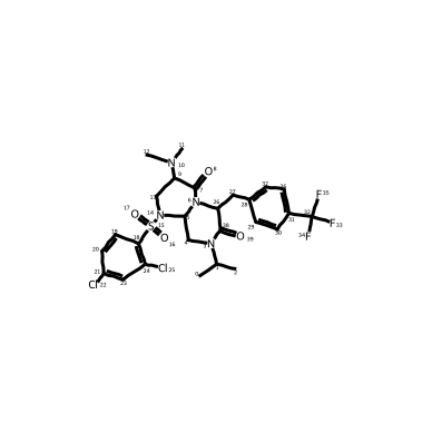 CC(C)N1CC2N(C(=O)C(N(C)C)CN2S(=O)(=O)c2ccc(Cl)cc2Cl)C(Cc2ccc(C(F)(F)F)cc2)C1=O